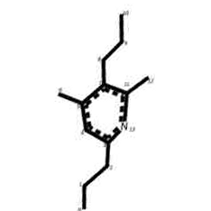 CCCc1[c]c(C)c(CCC)c(C)n1